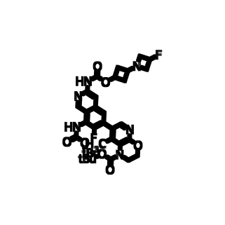 Cc1c(-c2cc3cc(NC(=O)OC4CC(N5CC(F)C5)C4)ncc3c(NC(=O)OC(C)(C)C)c2F)cnc2c1N(C(=O)OC(C)(C)C)CCO2